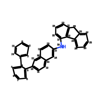 c1ccc(-c2ccccc2-c2ccc3cc(Nc4cccc5c4-c4ccccc4C5)ccc3c2)cc1